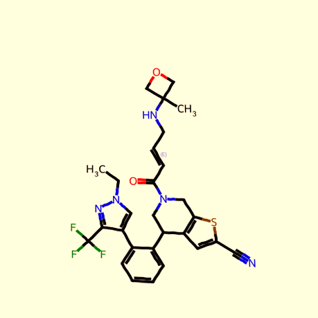 CCn1cc(-c2ccccc2C2CN(C(=O)/C=C/CNC3(C)COC3)Cc3sc(C#N)cc32)c(C(F)(F)F)n1